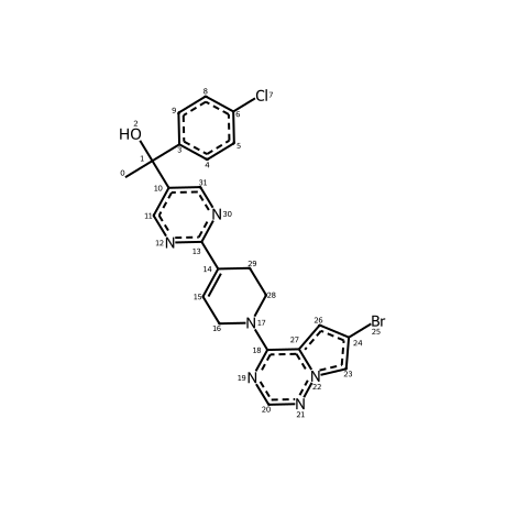 CC(O)(c1ccc(Cl)cc1)c1cnc(C2=CCN(c3ncnn4cc(Br)cc34)CC2)nc1